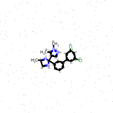 CC1=NC(c2cccc(-c3cc(Cl)cc(Cl)c3)c2)(c2cnn(C)c2C)N=C1